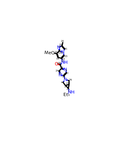 CCNC1C2CN(c3cnc(C(=O)Nc4cc(OC)c5nc(C)cn5c4)cn3)CC21